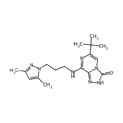 Cc1cc(C)n(CCCNc2nc(C(C)(C)C)cn3c(=O)[nH]nc23)n1